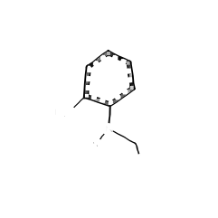 Cc1ccccc1N(N)CC(=O)O